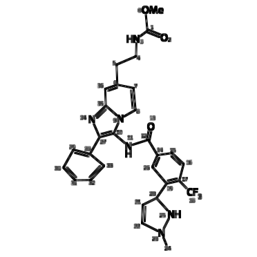 COC(=O)NCCc1ccn2c(NC(=O)c3ccc(C(F)(F)F)c(C4C=CN(C)N4)c3)c(-c3ccccc3)nc2c1